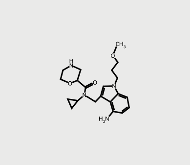 COCCCn1cc(CN(C(=O)C2CNCCO2)C2CC2)c2c(N)cccc21